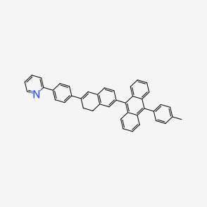 Cc1ccc(-c2c3ccccc3c(-c3ccc4c(c3)CCC(c3ccc(-c5ccccn5)cc3)=C4)c3ccccc23)cc1